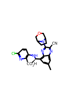 Cc1cc([C@@H](C)Nc2ccc(Cl)nc2C(=O)O)c2nc(N3C4CCC3COC4)c(C#N)nc2c1